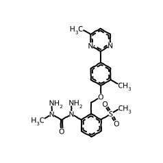 Cc1ccnc(-c2ccc(OCc3c(N(N)C(=O)N(C)N)cccc3S(C)(=O)=O)c(C)c2)n1